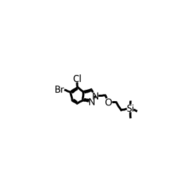 C[Si](C)(C)CCOCn1cc2c(Cl)c(Br)ccc2n1